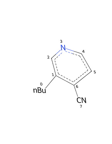 CCCCc1cnccc1C#N